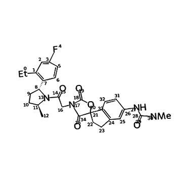 CCc1cc(F)ccc1[C@H]1CC[C@H](C)N1C(=O)CN1C(=O)OC2(CCc3cc(NC(=O)NC)ccc32)C1=O